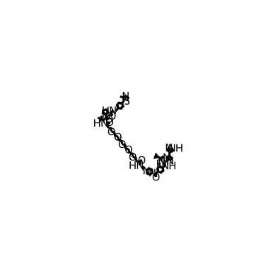 Cc1ncsc1-c1ccc(CNC(=O)[C@@H]2CCCN2C(=O)[C@@H](NC(=O)CCOCCOCCOCCOCCOCCC(=O)NCCN2CCN(C(=O)c3ccc(Nc4nc(C5CC5)cn5c(-c6cn[nH]c6)cnc45)c(F)c3)CC2)C(C)(C)C)cc1